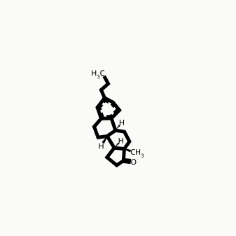 CCCc1ccc2c(c1)CC[C@@H]1[C@@H]2CC[C@]2(C)C(=O)CC[C@@H]12